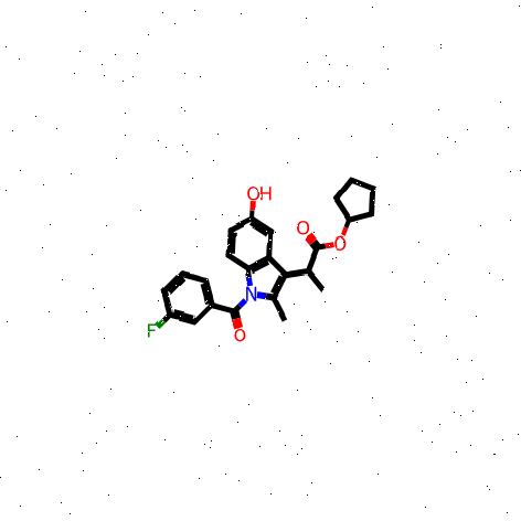 Cc1c(C(C)C(=O)OC2CCCC2)c2cc(O)ccc2n1C(=O)c1cccc(F)c1